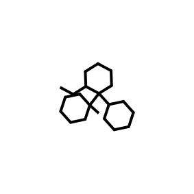 CCC1CCCCC1(C1CCCCC1)C1(C)CCCCC1